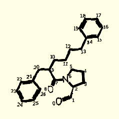 O=C[C@@H]1CCCN1C(=O)C(CCCCc1ccccc1)Cc1ccccc1